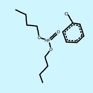 CCCCO[PH](=O)OCCCC.Clc1ccccc1